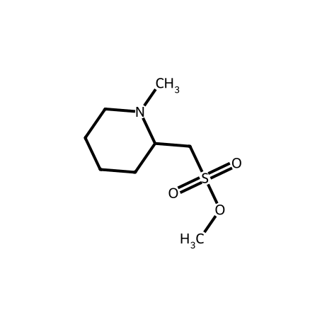 COS(=O)(=O)CC1CCCCN1C